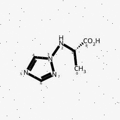 C[C@H](Nn1cncn1)C(=O)O